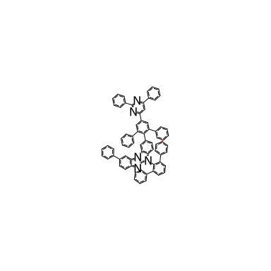 c1ccc(-c2ccc3nc4n(-c5c(-c6ccccc6)cccc5-c5ccccc5)c5ccc(-c6c(-c7ccccc7)cc(-c7cc(-c8ccccc8)nc(-c8ccccc8)n7)cc6-c6ccccc6)cc5n4c3c2)cc1